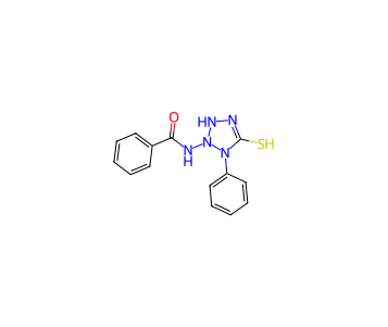 O=C(NN1NN=C(S)N1c1ccccc1)c1ccccc1